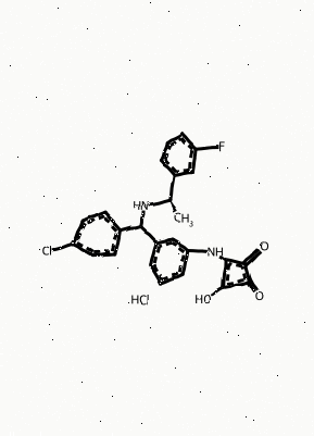 C[C@@H](NC(c1ccc(Cl)cc1)c1cccc(Nc2c(O)c(=O)c2=O)c1)c1cccc(F)c1.Cl